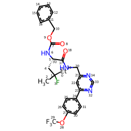 CCC(C)(F)C[C@H](NC(=O)OCc1ccccc1)C(=O)NCc1cc(-c2ccc(OC(F)(F)F)cc2)ncn1